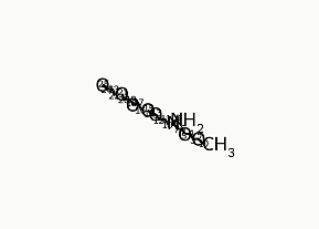 CCOCCOCCN(N)CCCOCOCCOCCOCCC=O